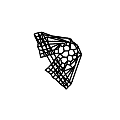 C1C2C3C4C5C6CC7C8C9C%10C%11CC%12C%13C%14C%15C%16C%17C%18C%19C%20C%21C%22C%23C%24C%25C%26CC%27C%28C%29C%30C1C21C2C%31C3%32C3C%33C4%34C4C%35C5%36C5C%37C6%38C6C7C87C98C%109C%11%12C%13%10C%14%11C%15%12C%16%13C%17%14C%18%15C%19%16C%20%17C%21%18C%22%19C%23%20C%24%21C%25%22C%27%26C%28%23C%29%24C%301C21C%312C%32%25C3%26C%333C%34%27C4%28C%354C%36%29C5%30C%375C%38%31C67C86C9%10C%117C%128C%139C%14%10C%15%11C%16%12C%17%13C%18%14C%19%15C%20%16C%21%17C%23%22C%241C2%17C%25%16C%26%15C3%14C%27%13C%28%12C4%11C%29%10C%309C58C%3167